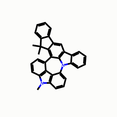 Cn1c2cccc3c4c5c(cc6c7ccccc7n(c7cccc1c7c32)c64)-c1ccccc1C5(C)C